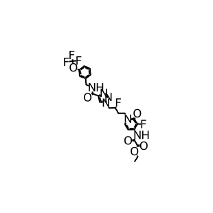 CCOC(=O)C(=O)Nc1ccn(CCC(F)Cn2cc(C(=O)NCc3cccc(OC(F)(F)F)c3)nn2)c(=O)c1F